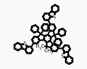 CC1(C)c2ccc(-c3cccc4c3sc3ccccc34)cc2-c2c1c1c(c3c2C(c2ccccc2)(c2ccccc2)c2ccc(-c4cccc5c4sc4ccccc45)cc2-3)C(c2ccccc2)(c2ccccc2)c2ccc(-c3cccc4c3sc3ccccc34)cc2-1